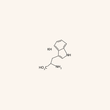 NC(Cc1c[nH]c2ccccc12)C(=O)O.[KH]